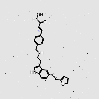 O=C(/C=C/c1ccc(CNCCc2c[nH]c3ccc(OCc4ccco4)cc23)cc1)NO